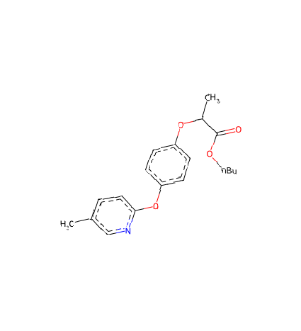 CCCCOC(=O)C(C)Oc1ccc(Oc2ccc(C)cn2)cc1